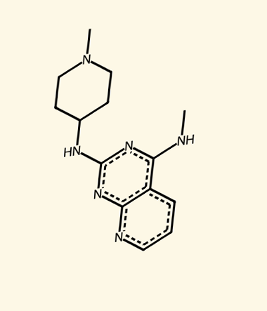 CNc1nc(NC2CCN(C)CC2)nc2ncccc12